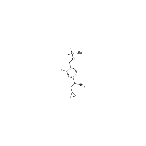 CC(C)(C)[Si](C)(C)OCc1ccc(C(N)CC2CC2)cc1F